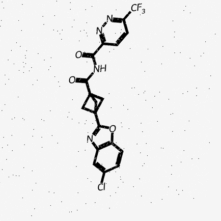 O=C(NC(=O)C12CC(c3nc4cc(Cl)ccc4o3)(C1)C2)c1ccc(C(F)(F)F)nn1